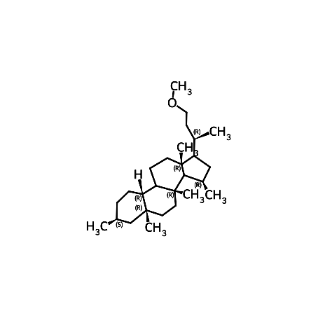 COCC[C@@H](C)C1C[C@@H](C)C2[C@]1(C)CCC1[C@H]3CC[C@H](C)C[C@@]3(C)CC[C@]12C